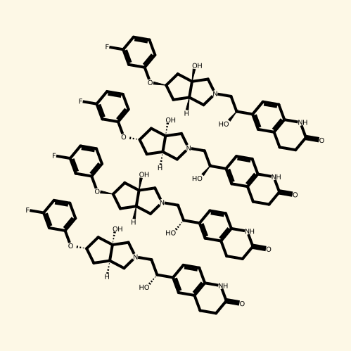 O=C1CCc2cc([C@@H](O)CN3C[C@@H]4C[C@@H](Oc5cccc(F)c5)C[C@]4(O)C3)ccc2N1.O=C1CCc2cc([C@@H](O)CN3C[C@H]4C[C@H](Oc5cccc(F)c5)C[C@@]4(O)C3)ccc2N1.O=C1CCc2cc([C@H](O)CN3C[C@@H]4C[C@@H](Oc5cccc(F)c5)C[C@]4(O)C3)ccc2N1.O=C1CCc2cc([C@H](O)CN3C[C@H]4C[C@H](Oc5cccc(F)c5)C[C@@]4(O)C3)ccc2N1